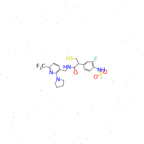 CS(=O)(=O)Nc1ccc(C(CS)C(=O)NCc2ccc(C(F)(F)F)nc2N2CCCC2)cc1F